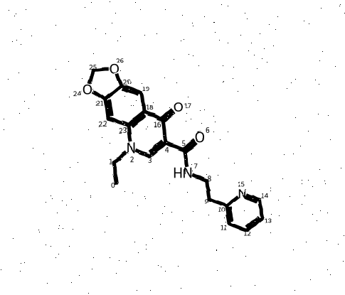 CCn1cc(C(=O)NCCc2ccccn2)c(=O)c2cc3c(cc21)OCO3